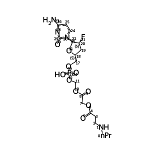 CCCNCCC(=O)OCC(=O)OCOP(=O)(O)OC[C@@H]1C[C@H](F)[C@H](n2ccc(N)nc2=O)O1